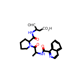 CC(NC(=O)c1nccc2ccccc12)C(=O)N1CCCCC1C(=O)NC(C=O)CC(=O)O